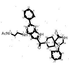 CC(=O)NCCNc1nc(-c2ccccc2)nc2[nH]c(C(=O)N3CCC4(CC3)C(=O)NCN4c3ccccc3)cc12